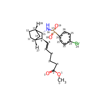 COC(=O)CCCC=C[C@H]1[C@@H]2CC[C@@H](C2)[C@@H]1NS(=O)(=O)c1ccc(Br)cc1